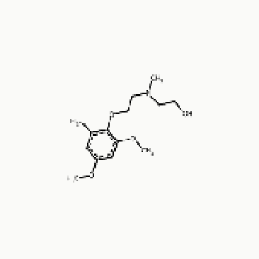 COc1cc(C)c(OCCN(C)CCO)c(OC)c1